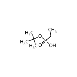 CCP(=O)(O)OC(C)(C)C